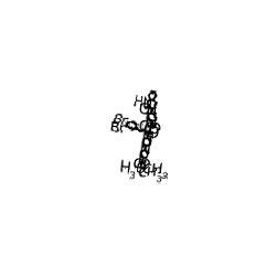 CC(C)(C)OC(=O)N1CCN(C2CCN(C(=O)C(Cc3ccc(Br)c(Br)c3)OC(=O)N3CCC(N4CCc5ccccc5NC4=O)CC3)CC2)CC1